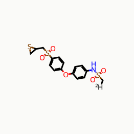 [2H]CS(=O)(=O)Nc1ccc(Oc2ccc(S(=O)(=O)CC3CS3)cc2)cc1